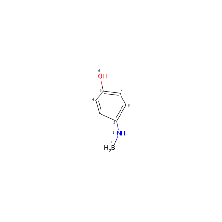 BNc1ccc(O)cc1